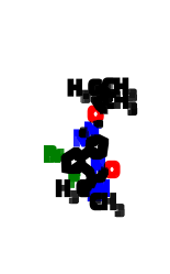 Cc1c2c(nn1C)C(=O)N1c3ccc4c(ncn4COCC[Si](C)(C)C)c3-c3cc(Br)cc(F)c3C21